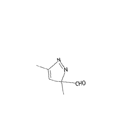 CC1=CC(C)(C=O)N=N1